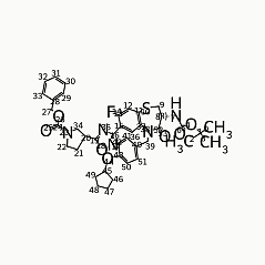 CC(C)(C)OC(=O)N[C@H]1CSc2cc(F)c(-c3noc(C4CCN(C(=O)OCc5ccccc5)C4)n3)cc2N(Cc2ccc(OC3CCCC3)cc2)C1=O